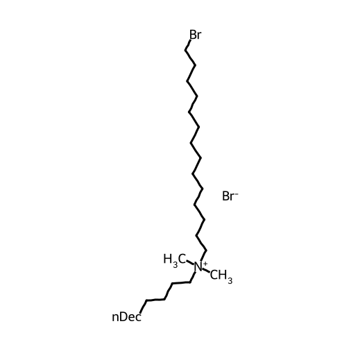 CCCCCCCCCCCCCC[N+](C)(C)CCCCCCCCCCCCCCBr.[Br-]